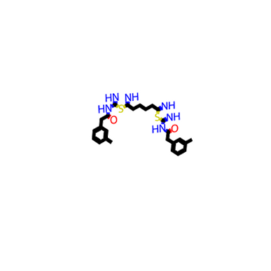 Cc1cccc(CC(=O)NC(=N)SC(=N)CCCCC(=N)SC(=N)NC(=O)Cc2cccc(C)c2)c1